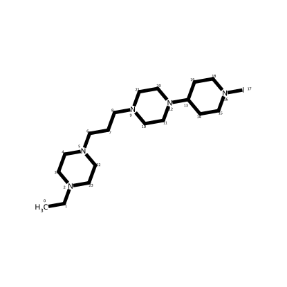 CCN1CCN(CCCN2CCN(C3CCN(I)CC3)CC2)CC1